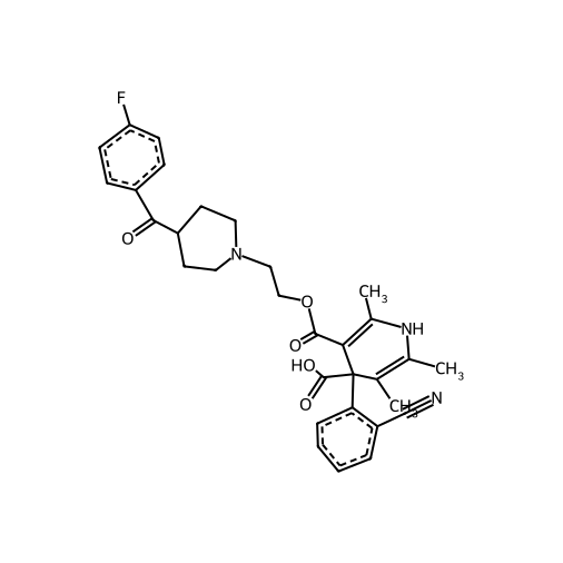 CC1=C(C)C(C(=O)O)(c2ccccc2C#N)C(C(=O)OCCN2CCC(C(=O)c3ccc(F)cc3)CC2)=C(C)N1